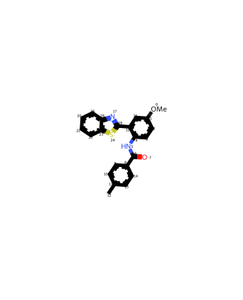 COc1ccc(NC(=O)c2ccc(C)cc2)c(-c2nc3ccccc3s2)c1